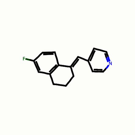 Fc1ccc2c(c1)CCCC2=Cc1ccncc1